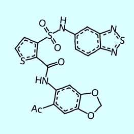 CC(=O)c1cc2c(cc1NC(=O)c1sccc1S(=O)(=O)Nc1ccc3nsnc3c1)OCO2